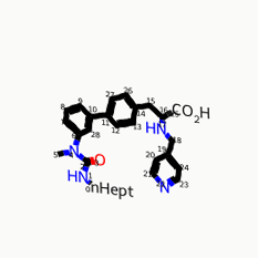 CCCCCCCNC(=O)N(C)c1cccc(-c2ccc(CC(NCc3ccncc3)C(=O)O)cc2)c1